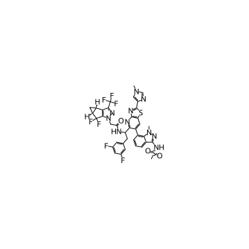 Cn1cnc(-c2nc3nc(C(Cc4cc(F)cc(F)c4)NC(=O)Cn4nc(C(F)(F)F)c5c4C(F)(F)[C@@H]4C[C@H]54)c(-c4cccc5c(NS(C)(=O)=O)nn(C)c45)cc3s2)c1